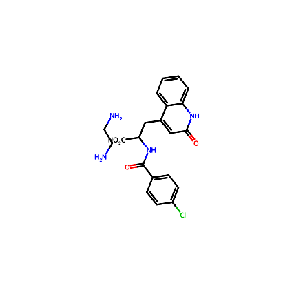 NCCN.O=C(NC(Cc1cc(=O)[nH]c2ccccc12)C(=O)O)c1ccc(Cl)cc1